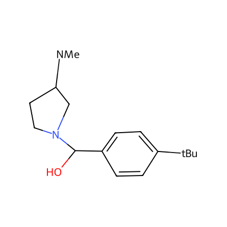 CNC1CCN(C(O)c2ccc(C(C)(C)C)cc2)C1